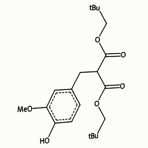 COc1cc(CC(C(=O)OCC(C)(C)C)C(=O)OCC(C)(C)C)ccc1O